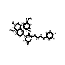 COc1cccc([C@@]23CCN(C)C[C@@]2(OC)CC[C@H](N(CC(C)C)C(=O)CCCCCc2ccccc2)C3)c1